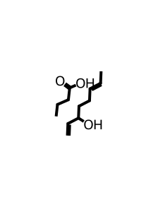 C=CC(O)CCC=CC.CCCC(=O)O